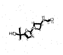 CC(C)(O)c1cnc(N2CC(NC=O)C2)o1